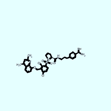 Cc1cc(C)c2cccc(OCc3c(Cl)ccc(S(=O)(=O)N4CCC[C@H]4C(=O)NCCCc4ccc(C(=N)N)cc4)c3Cl)c2n1